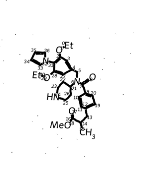 CCOc1cc(CN(C(=O)c2ccc(CC(C)C(=O)OC)cc2)C2CCNCC2)cc(OCC)c1-n1cccc1